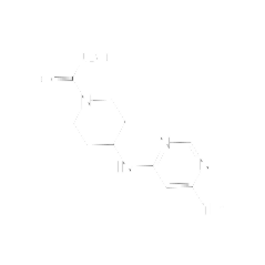 CC(C)c1cc(NC2CCN(C(=O)C(C)(C)C)CC2)ncn1